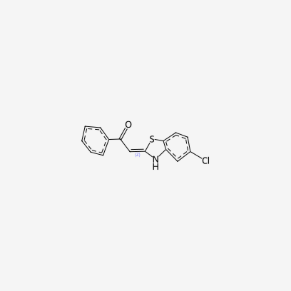 O=C(/C=C1/Nc2cc(Cl)ccc2S1)c1ccccc1